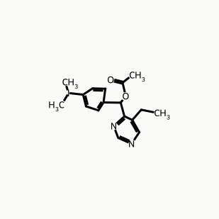 CCc1cncnc1C(OC(C)=O)c1ccc(I(C)C)cc1